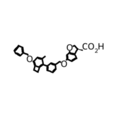 Cc1cc(OCc2ccccc2)c2c(c1-c1cccc(COc3ccc4c(c3)OC[C@H]4CC(=O)O)c1)CC2